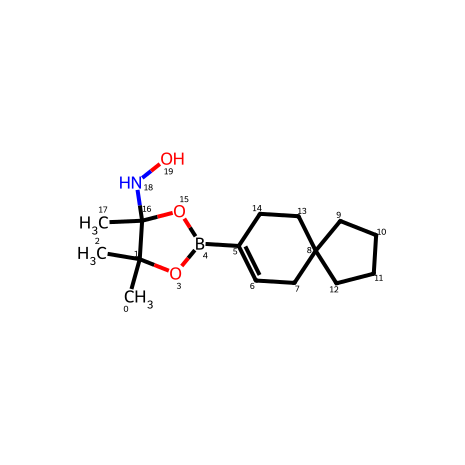 CC1(C)OB(C2=CCC3(CCCC3)CC2)OC1(C)NO